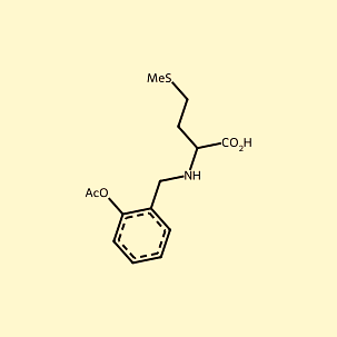 CSCCC(NCc1ccccc1OC(C)=O)C(=O)O